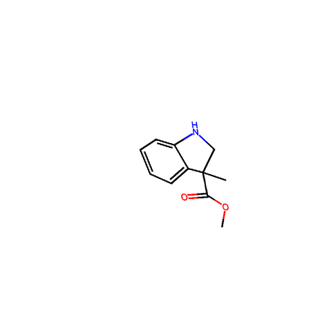 COC(=O)C1(C)CNc2ccccc21